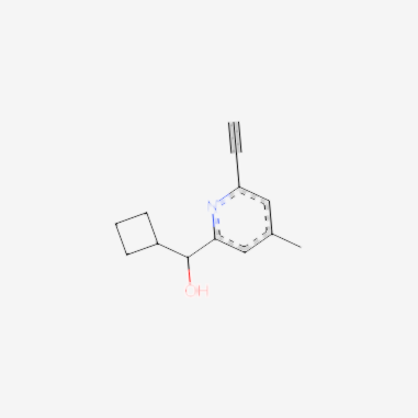 C#Cc1cc(C)cc(C(O)C2CCC2)n1